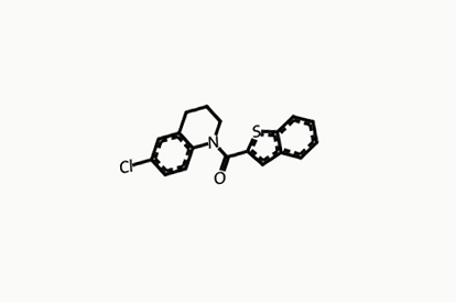 O=C(c1cc2ccccc2s1)N1CCCc2cc(Cl)ccc21